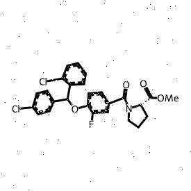 COC(=O)[C@@H]1CCCN1C(=O)c1ccc(OC(c2ccc(Cl)cc2)c2ccccc2Cl)c(F)c1